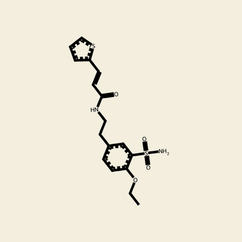 CCOc1ccc(CCNC(=O)C=Cc2cccs2)cc1S(N)(=O)=O